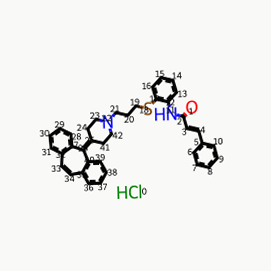 Cl.O=C(C=Cc1ccccc1)Nc1ccccc1SCCCN1CCC(=C2c3ccccc3C=Cc3ccccc32)CC1